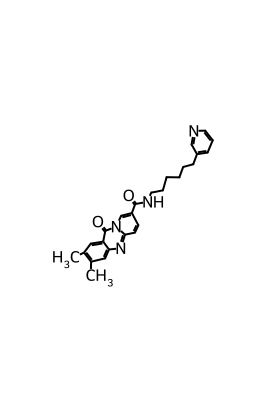 Cc1cc2nc3ccc(C(=O)NCCCCCCc4cccnc4)cn3c(=O)c2cc1C